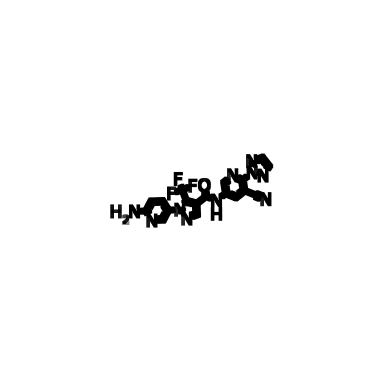 N#Cc1cc(NC(=O)c2cnn(-c3ccc(N)nc3)c2C(F)(F)F)cnc1-n1nccn1